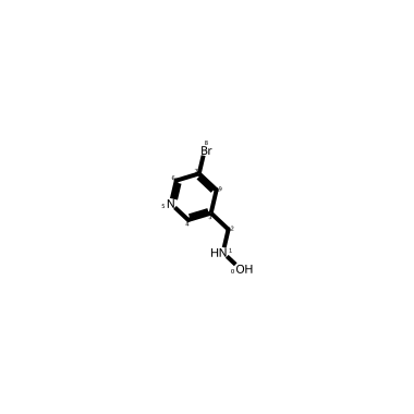 ONCc1cncc(Br)c1